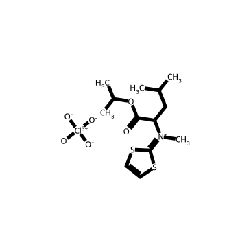 CC(C)CC(C(=O)OC(C)C)[N+](C)=c1sccs1.[O-][Cl+3]([O-])([O-])[O-]